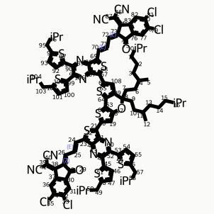 CC(C)CCCC(C)CCC1(CCC(C)CCCC(C)C)Oc2cc(-c3sc(/C=C/C=C4\C(=O)c5cc(Cl)c(Cl)cc5C4=C(C#N)C#N)c4nc(-c5ccc(CC(C)C)s5)c(-c5ccc(CC(C)C)s5)nc34)sc2-c2sc(-c3sc(/C=C/C=C4\C(=O)c5cc(Cl)c(Cl)cc5C4=C(C#N)C#N)c4nc(-c5ccc(CC(C)C)s5)c(-c5ccc(CC(C)C)s5)nc34)cc21